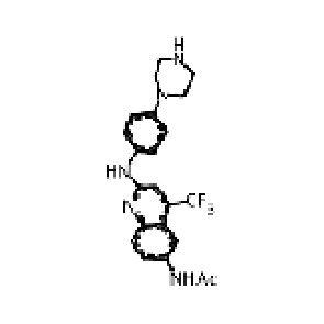 CC(=O)Nc1ccc2nc(Nc3ccc(N4CCNCC4)cc3)cc(C(F)(F)F)c2c1